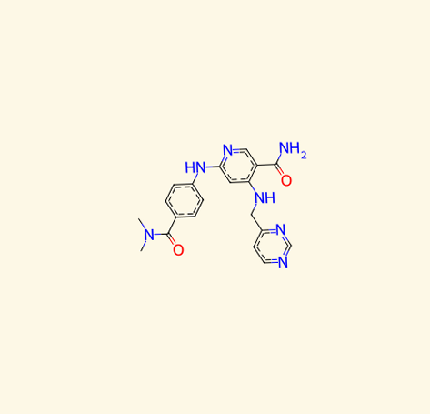 CN(C)C(=O)c1ccc(Nc2cc(NCc3ccncn3)c(C(N)=O)cn2)cc1